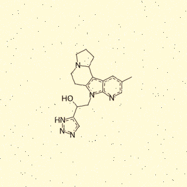 Cc1cnc2c(c1)c1c(n2CC(O)c2cnn[nH]2)CCN2CCCC12